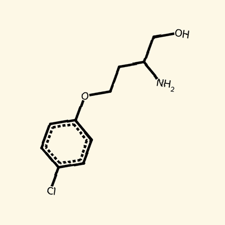 NC(CO)CCOc1ccc(Cl)cc1